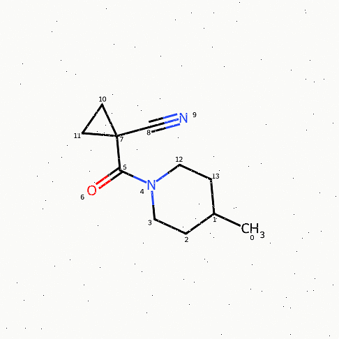 CC1CCN(C(=O)C2(C#N)CC2)CC1